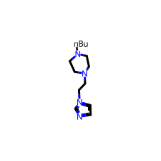 CCCCN1CCN(CCn2ccnc2)CC1